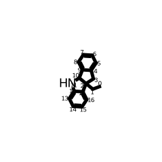 CCC12Cc3ccccc3C1Nc1ccccc12